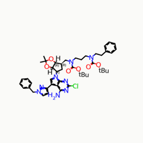 CC(C)(C)OC(=O)N(CCCN(C[C@H]1C[C@@H](n2cc(-c3ccn(Cc4ccccc4)n3)c3c(N)nc(Cl)nc32)[C@@H]2OC(C)(C)O[C@H]12)C(=O)OC(C)(C)C)CCc1ccccc1